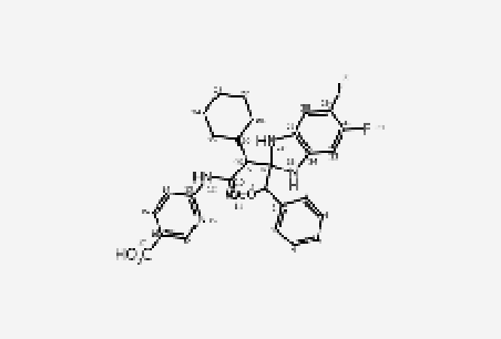 COC(c1ccccc1)C1([C@@H](C(=O)Nc2ccc(C(=O)O)cn2)C2CCCCC2)Nc2cc(F)c(F)cc2N1